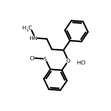 CNCCC(Oc1ccccc1SCl)c1ccccc1.Cl